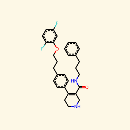 O=C(NCCCc1ccccc1)C1=C(c2ccc(CCCOc3cc(F)ccc3F)cc2)CCNC1